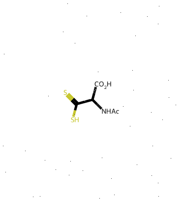 CC(=O)NC(C(=O)O)C(=S)S